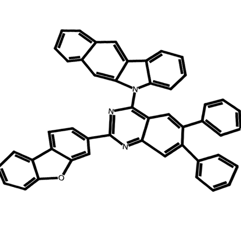 c1ccc(-c2cc3nc(-c4ccc5c(c4)oc4ccccc45)nc(-n4c5ccccc5c5cc6ccccc6cc54)c3cc2-c2ccccc2)cc1